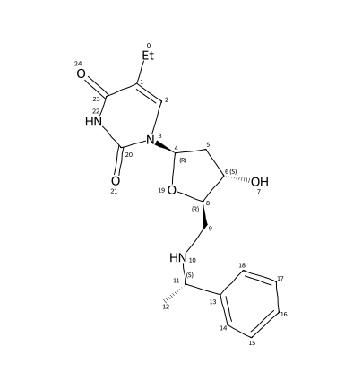 CCc1cn([C@H]2C[C@H](O)[C@@H](CN[C@@H](C)c3ccccc3)O2)c(=O)[nH]c1=O